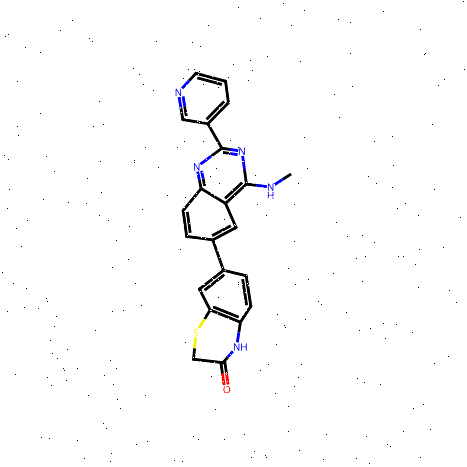 CNc1nc(-c2cccnc2)nc2ccc(-c3ccc4c(c3)SCC(=O)N4)cc12